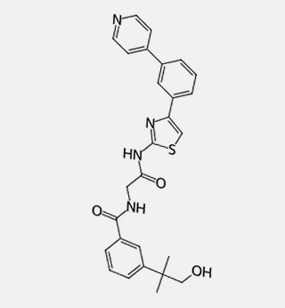 CC(C)(CO)c1cccc(C(=O)NCC(=O)Nc2nc(-c3cccc(-c4ccncc4)c3)cs2)c1